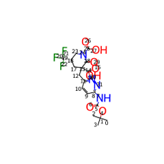 CC(C)(C)OC(=O)Nc1ccc(CC2(C(=O)O)C[C@H](C(F)(F)F)CN(C(=O)O)C2=O)nn1